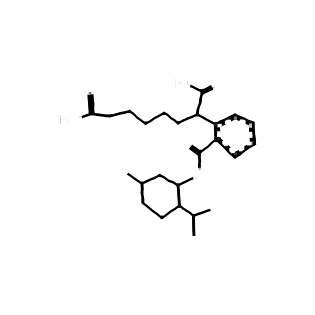 CC1CCC(C(C)C)C(OC(=O)c2ccccc2C(CCCCCC(=O)O)C(=O)O)C1